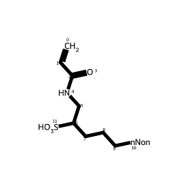 C=CC(=O)NCC(CCCCCCCCCCCC)S(=O)(=O)O